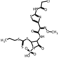 CCCSC(=S)SC1C(NC(=O)C(=NOC)c2csc(NC(=O)CCl)n2)C(=O)N1S(=O)(=O)O